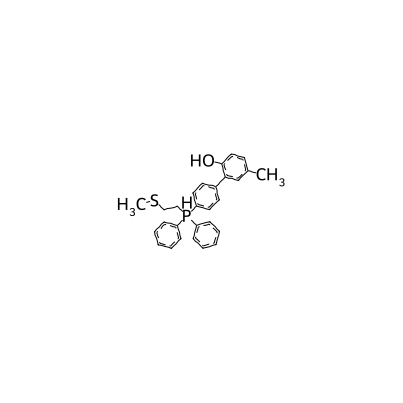 CSCC[PH](c1ccccc1)(c1ccccc1)c1ccc(-c2cc(C)ccc2O)cc1